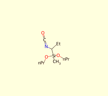 CCCO[Si](C)(OCCC)C(CC)N=C=O